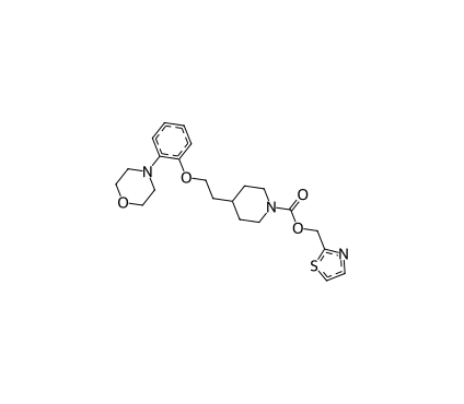 O=C(OCc1nccs1)N1CCC(CCOc2ccccc2N2CCOCC2)CC1